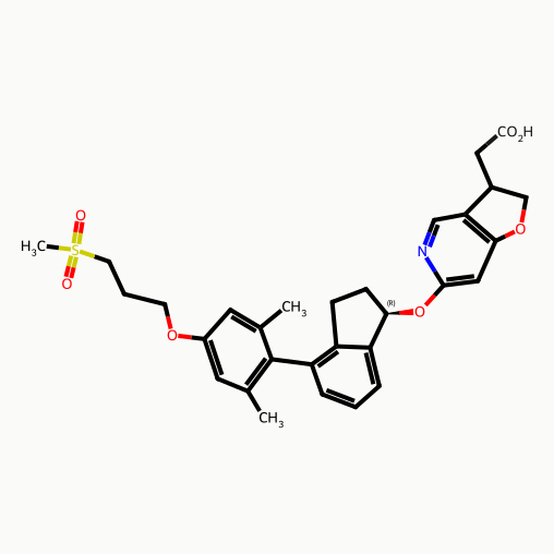 Cc1cc(OCCCS(C)(=O)=O)cc(C)c1-c1cccc2c1CC[C@H]2Oc1cc2c(cn1)C(CC(=O)O)CO2